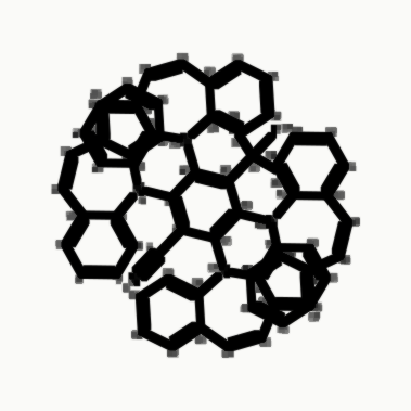 N#Cc1c(N2c3ccccc3C=Cc3ccccc32)c(N2c3ccccc3C=Cc3ccccc32)c(C(F)(F)F)c(N2c3ccccc3C=Cc3ccccc32)c1N1c2ccccc2C=Cc2ccccc21